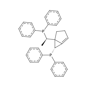 C[C@@H](P(c1ccccc1)c1ccccc1)C12CCC=C1[C@@H]2P(c1ccccc1)c1ccccc1